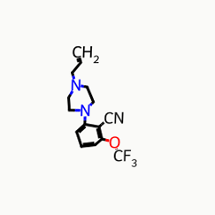 C=CCN1CCN(c2cccc(OC(F)(F)F)c2C#N)CC1